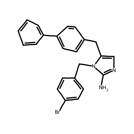 Nc1ncc(Cc2ccc(-c3ccccc3)cc2)n1Cc1ccc(Br)cc1